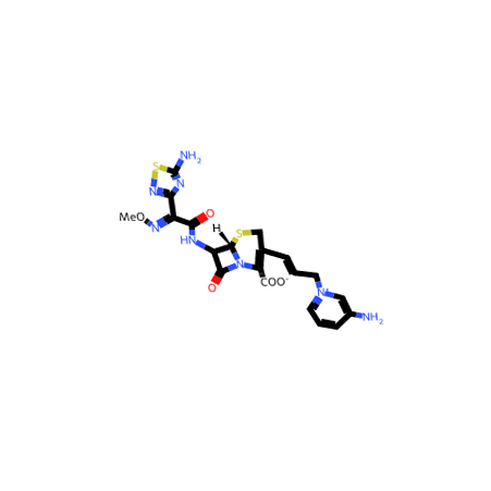 CON=C(C(=O)NC1C(=O)N2C(C(=O)[O-])=C(C=CC[n+]3cccc(N)c3)CS[C@@H]12)c1nsc(N)n1